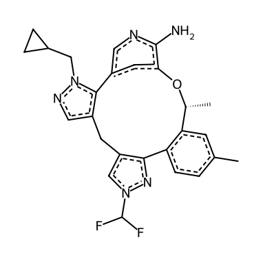 Cc1ccc2c(c1)[C@@H](C)Oc1cc(cnc1N)-c1c(cnn1CC1CC1)Cc1cn(C(F)F)nc1-2